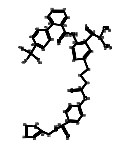 CN(C)C(=O)c1cc(CCCC(=O)Oc2ccc(C(=O)OCc3cccs3)cc2)ccc1NC(=O)c1ccccc1-c1ccc(C(F)(F)F)cc1